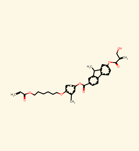 C=CC(=O)OCCCCCCOc1ccc(OC(=O)c2ccc3c(c2)C(C)c2cc(OC(=O)C(=C)CO)ccc2-3)cc1C